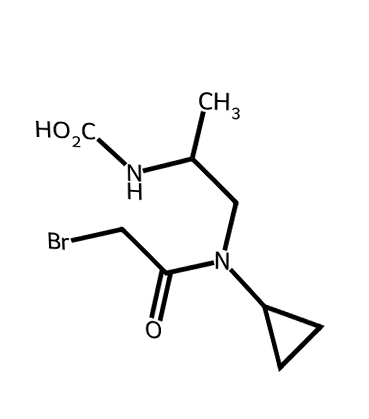 CC(CN(C(=O)CBr)C1CC1)NC(=O)O